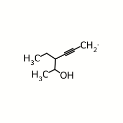 [CH2]C#CC(CC)C(C)O